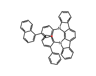 c1ccc(-c2ccccc2-n2c3ccccc3c3ccc4c5ccccc5n(-c5ccc(-c6cccc7ccccc67)cc5)c4c32)cc1